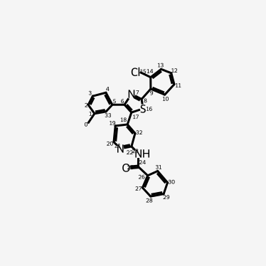 Cc1cccc(-c2nc(-c3ccccc3Cl)sc2-c2ccnc(NC(=O)c3ccccc3)c2)c1